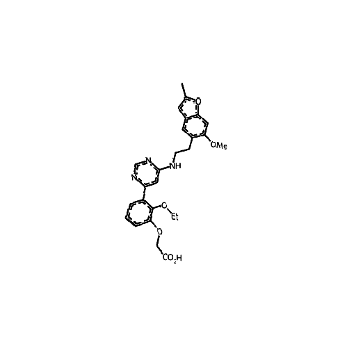 CCOc1c(OCC(=O)O)cccc1-c1cc(NCCc2cc3cc(C)oc3cc2OC)ncn1